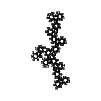 c1ccc2c(c1)sc1c(-c3cc(-n4c5ccccc5c5cc(-c6cccc7c6oc6ccc(-n8c9ccccc9c9ccccc98)cc67)ccc54)c4oc5ccc(-n6c7ccccc7c7cc(-c8cccc9c8oc8ccc(-n%10c%11ccccc%11c%11ccccc%11%10)cc89)ccc76)cc5c4c3)cccc12